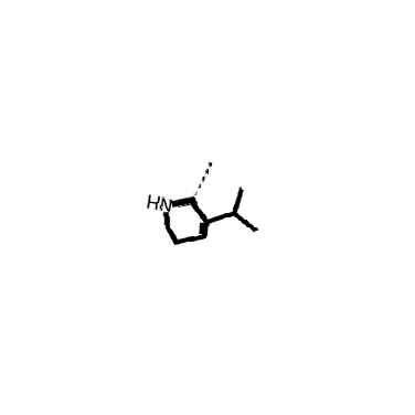 CC(C)C1=CCCN[C@@H]1C